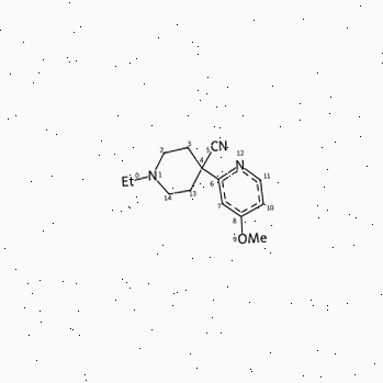 CCN1CCC(C#N)(c2cc(OC)ccn2)CC1